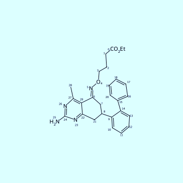 CCOC(=O)CCCON=C1CC(c2ccccc2-c2ccccc2)Cc2nc(N)nc(C)c21